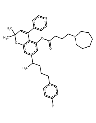 CC(CCCc1ccc(F)cc1)c1cc(OC(=O)CCCN2CCCCCC2)c2c(c1)OC(C)(C)C=C2c1ccncc1